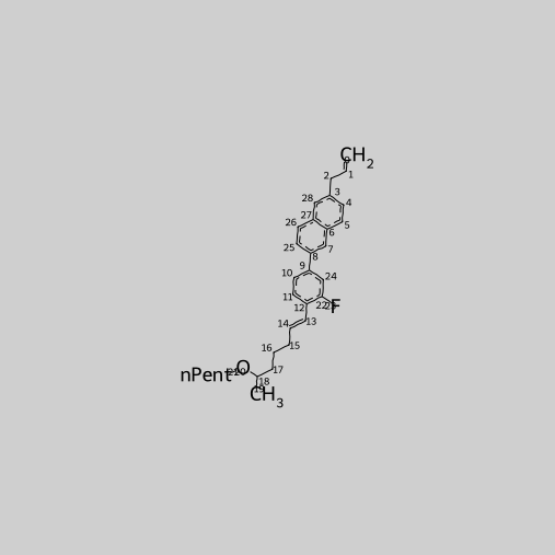 C=CCc1ccc2cc(-c3ccc(/C=C/CCCC(C)OCCCCC)c(F)c3)ccc2c1